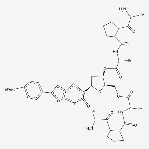 CCCCCc1ccc(-c2cc3cn([C@H]4C[C@@H](OC(=O)C(NC(=O)C5CCCC5C(=O)C(N)C(C)C)C(C)C)[C@@H](COC(=O)C(NC(=O)C5CCCC5C(=O)C(N)C(C)C)C(C)C)O4)c(=O)nc3o2)cc1